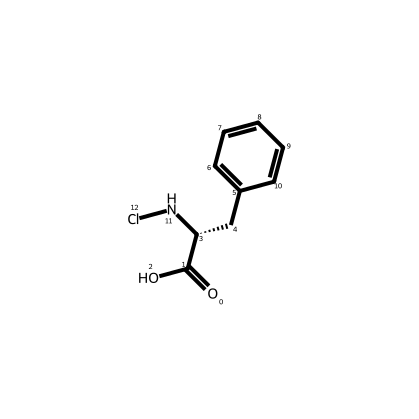 O=C(O)[C@@H](Cc1ccccc1)NCl